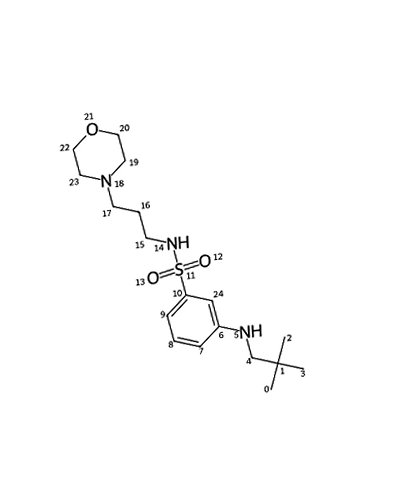 CC(C)(C)CNc1cccc(S(=O)(=O)NCCCN2CCOCC2)c1